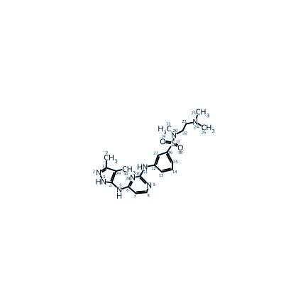 Cc1n[nH]c(Nc2ccnc(Nc3cccc(S(=O)(=O)N(C)CCN(C)C)c3)n2)c1C